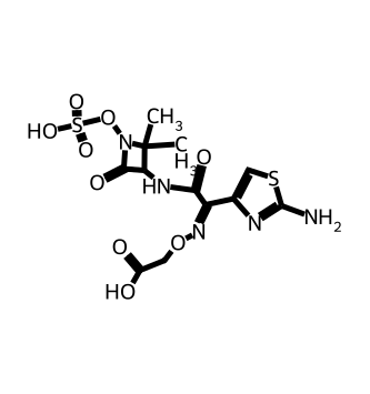 CC1(C)C(NC(=O)/C(=N\OCC(=O)O)c2csc(N)n2)C(=O)N1OS(=O)(=O)O